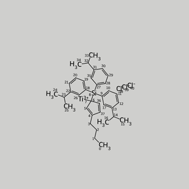 CCCCC1=C[C]([Ti+3])([Si](c2cccc(C(C)C)c2)(c2cccc(C(C)C)c2)c2cccc(C(C)C)c2)C=C1.[Cl-].[Cl-].[Cl-]